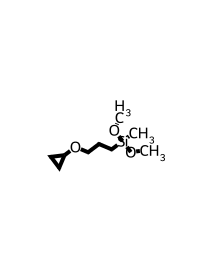 CO[Si](C)(CCCOC1CC1)OC